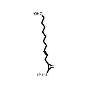 CCCCCC1OC1CC=CCCCCCCC[C]=O